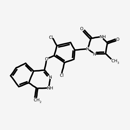 C=C1NN=C(Oc2c(Cl)cc(-n3nc(C)c(=O)[nH]c3=O)cc2Cl)c2ccccc21